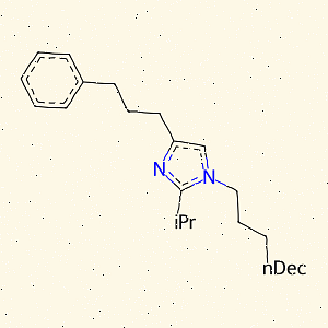 CCCCCCCCCCCCCn1cc(CCCc2ccccc2)nc1C(C)C